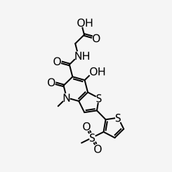 Cn1c(=O)c(C(=O)NCC(=O)O)c(O)c2sc(-c3sccc3S(C)(=O)=O)cc21